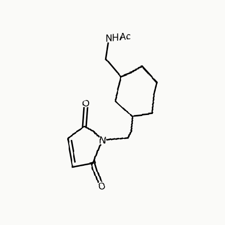 CC(=O)NCC1CCCC(CN2C(=O)C=CC2=O)C1